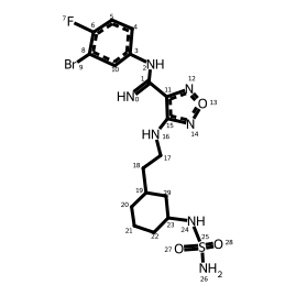 N=C(Nc1ccc(F)c(Br)c1)c1nonc1NCCC1CCCC(NS(N)(=O)=O)C1